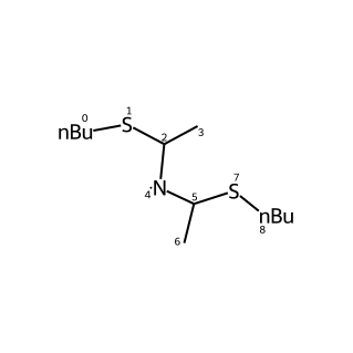 CCCCSC(C)[N]C(C)SCCCC